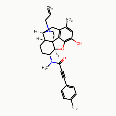 C=CCN1CC[C@]23c4c5c([N+](=O)[O-])cc(O)c4O[C@H]2[C@@H](N(C)C(=O)C#Cc2ccc(C(F)(F)F)cc2)CC[C@H]3[C@H]1C5